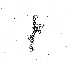 N#Cc1ccc(-c2ccc(C[C@H](NC(=O)C3Cc4cc5c(cc4CN3Cc3ccsc3)OC(c3ccc(OCc4ccc(Cl)c(Cl)c4)cc3)C(=O)N5)C(=O)O)cc2)cc1